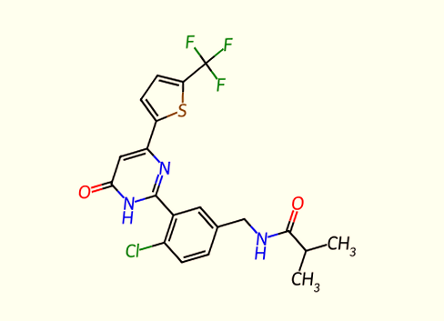 CC(C)C(=O)NCc1ccc(Cl)c(-c2nc(-c3ccc(C(F)(F)F)s3)cc(=O)[nH]2)c1